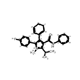 CC(C)c1c(C(=O)Nc2ccccc2)c(C2=CCCC=C2)c(-c2ccc(F)cc2)n1C